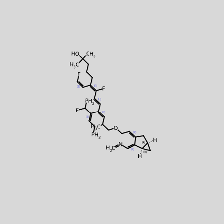 C=N/C=C1\C(=C/COCC(C)/C=C(/C=C/C(F)=C(\C=C/F)CCCC(C)(C)O)C(=C/CP)\C(F)P)C[C@H]2C[C@@H]12